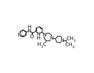 CC1CN(C2CCN(C(C)C)CC2)CCN(C2C=CC=C(C(=O)Nc3ccncc3)N2)C1